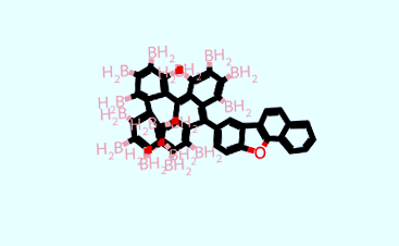 Bc1c(B)c(B)c(-c2c(B)c(B)c(B)c(B)c2-c2c3c(B)c(B)c(B)c(B)c3c(-c3ccc4oc5c6ccccc6ccc5c4c3)c3c(B)c(B)c(B)c(B)c23)c(B)c1B